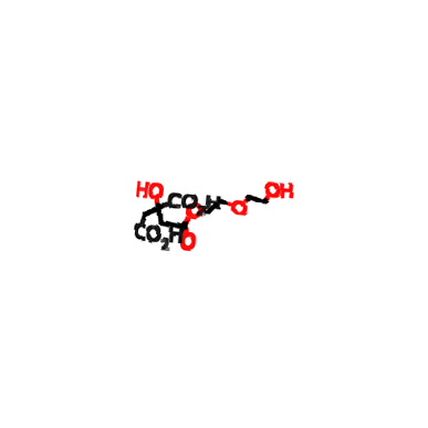 O=C(O)CC(O)(CC(=O)OCCOCCO)C(=O)O